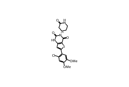 COc1cc(Cl)c(-c2cc3[nH]c(=O)n([C@H]4CCNC(=O)C4)c(=O)c3s2)cc1OC